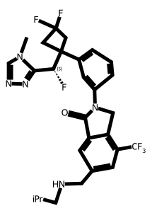 CC(C)CNCc1cc2c(c(C(F)(F)F)c1)CN(c1cccc(C3([C@H](F)c4nncn4C)CC(F)(F)C3)c1)C2=O